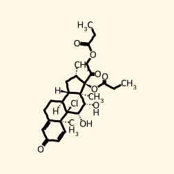 CCC(=O)OCC(=O)[C@@]1(OC(=O)CC)[C@@H](C)C[C@H]2[C@@H]3CCC4=CC(=O)C=C[C@]4(C)[C@@]3(Cl)[C@@H](O)[C@@H](O)[C@@]21C